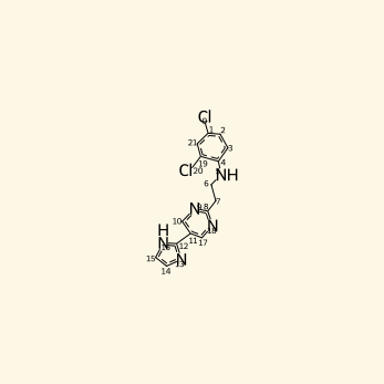 Clc1ccc(NCCc2ncc(-c3ncc[nH]3)cn2)c(Cl)c1